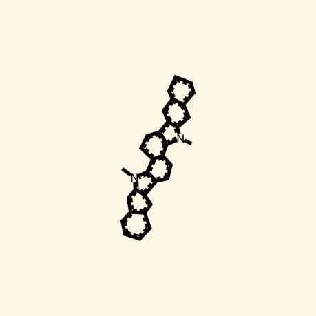 Cn1c2cc3ccccc3cc2c2ccc3c(ccc4c5cc6ccccc6cc5n(C)c43)c21